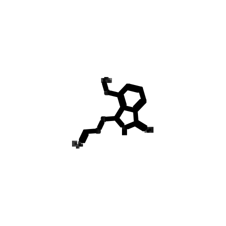 C=COOC1NC(=N)c2cccc(OCCCC)c21